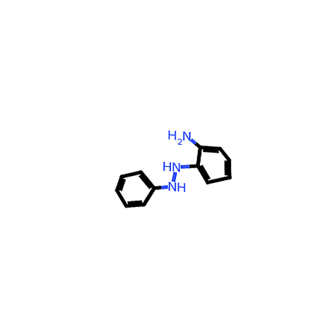 Nc1ccccc1NNc1ccccc1